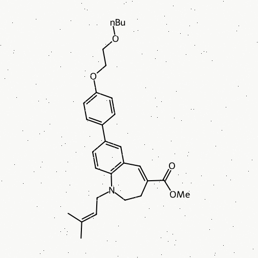 CCCCOCCOc1ccc(-c2ccc3c(c2)C=C(C(=O)OC)CCN3CC=C(C)C)cc1